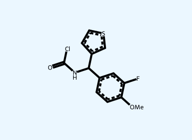 COc1ccc(C(NC(=O)Cl)c2ccsc2)cc1F